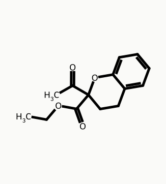 CCOC(=O)C1(C(C)=O)CCc2ccccc2O1